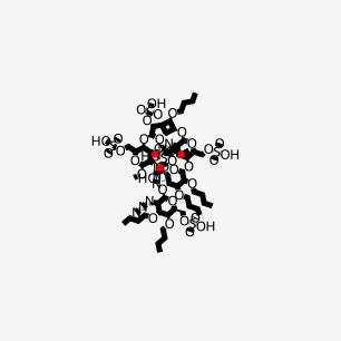 CCCCOC1C(OCCCC)[C@H](O[C@H]2O[C@@H](COS(=O)(=O)O)[C@@H](OCCCC)C(OCCCC)C2N=[N+]=[N-])[C@H](C(=O)O)O[C@H]1O[C@@H]1C(COS(=O)(=O)O)O[C@H](O[C@@H]2C3O[C@@H](O[C@@H]4C(COS(=O)(=O)O)O[C@H](OC)C(N=[N+]=[N-])[C@H]4OCCCC)[C@@H](OS(=O)(=O)O)C3[C@H]2OCCCC)C(N=[N+]=[N-])[C@H]1OS(=O)(=O)O